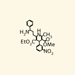 CCOC(=O)C1=C(CCC(N)c2ccccc2)NC(C)=C(C(=O)OC)C1c1cccc([N+](=O)[O-])c1